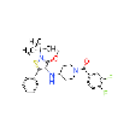 CC(C)(C)n1sc(-c2ccccc2)c(NC2CCN(C(=O)c3ccc(F)c(F)c3)CC2)c1=O